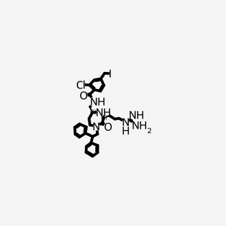 N=C(N)NCCC[C@@H]1N[C@H](CNC(=O)c2ccc(CI)cc2Cl)CCN(CC(c2ccccc2)c2ccccc2)C1=O